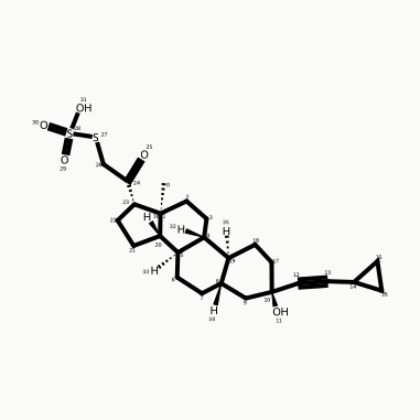 C[C@]12CC[C@H]3[C@@H](CC[C@H]4C[C@@](O)(C#CC5CC5)CC[C@@H]43)[C@@H]1CC[C@@H]2C(=O)CSS(=O)(=O)O